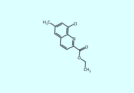 CCOC(=O)c1ccc2cc(C)cc(Cl)c2n1